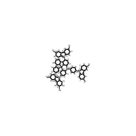 Cc1ccc2c(c1)c1cc(C)ccc1n2-c1ccc(N2c3ccc(-n4c5ccc(C)cc5c5cc(C)ccc54)cc3C(c3ccccc3)(c3ccccc3)c3cc(-n4c5ccc(C)cc5c5cc(C)ccc54)ccc32)cc1